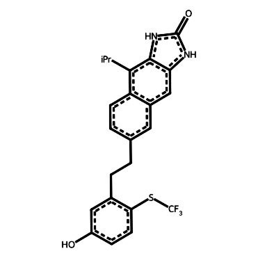 CC(C)c1c2ccc(CCc3cc(O)ccc3SC(F)(F)F)cc2cc2[nH]c(=O)[nH]c12